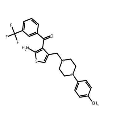 Cc1ccc(N2CCN(Cc3csc(N)c3C(=O)c3cccc(C(F)(F)F)c3)CC2)cc1